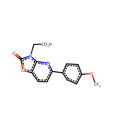 O=C(O)Cn1c(=O)oc2ccc(-c3ccc(OC(F)(F)F)cc3)nc21